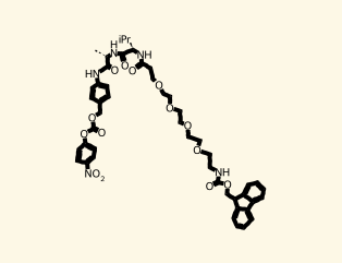 CC(C)[C@H](NC(=O)CCOCCOCCOCCOCCNC(=O)OCC1c2ccccc2-c2ccccc21)C(=O)N[C@@H](C)C(=O)Nc1ccc(COC(=O)Oc2ccc([N+](=O)[O-])cc2)cc1